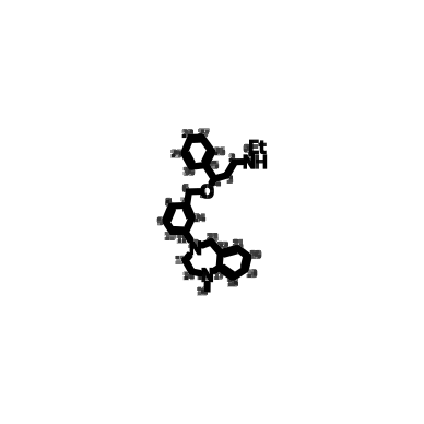 CCNCCC(OCc1cccc(N2CCN(C)c3ccccc3C2)c1)c1ccccc1